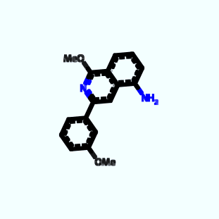 COc1cccc(-c2cc3c(N)cccc3c(OC)n2)c1